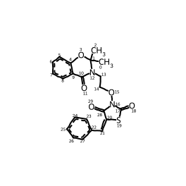 CC1(C)Oc2ccccc2C(=O)N1CCON1C(=O)SC(=Cc2ccccc2)C1=O